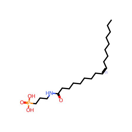 CCCCCCCC/C=C\CCCCCCCC(=O)NCCCP(=O)(O)O